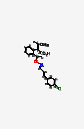 COC(C)=C(C(=O)O)c1ccccc1C(C)ON=CC=Cc1ccc(Cl)cc1